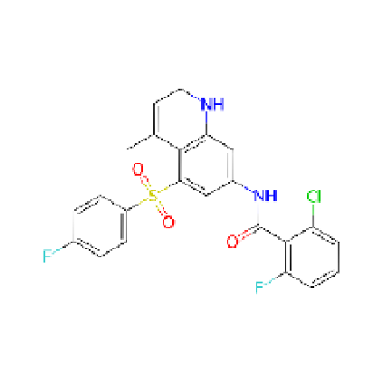 CC1=CCNc2cc(NC(=O)c3c(F)cccc3Cl)cc(S(=O)(=O)c3ccc(F)cc3)c21